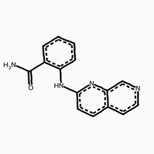 NC(=O)c1ccccc1Nc1ccc2ccncc2n1